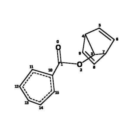 O=C(OC1C2C=CC1C=C2)c1ccccc1